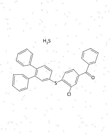 O=C(c1ccccc1)c1ccc(Sc2ccc(-c3ccccc3)c(-c3ccccc3)c2)c(Cl)c1.S